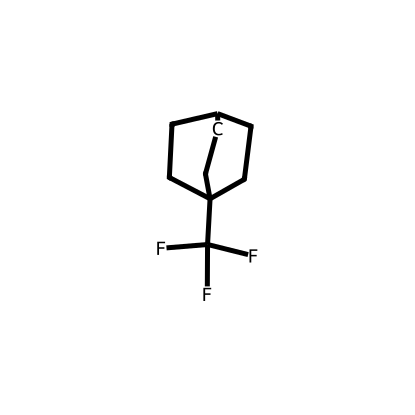 FC(F)(F)C12CCC(CC1)CC2